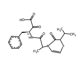 CC(C)C1SC=CN(C(C)C(=O)N[C@@H](Cc2ccccc2)C(=O)C(=O)O)C1=O